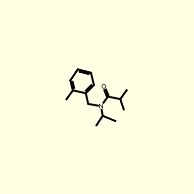 Cc1ccccc1CN(C(=O)C(C)C)C(C)C